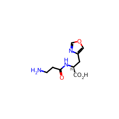 NCCC(=O)N[C@@H](Cc1cocn1)C(=O)O